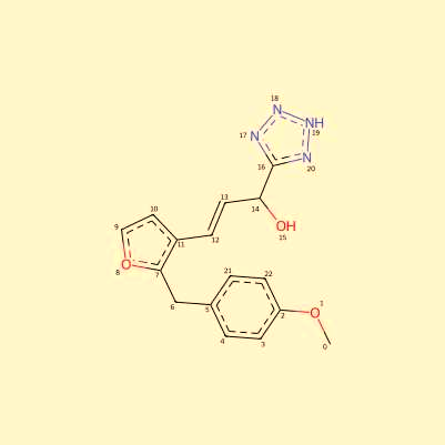 COc1ccc(Cc2occc2C=CC(O)c2nn[nH]n2)cc1